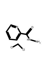 ClCCl.NNC(=O)c1ccccn1